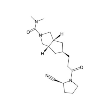 CN(C)C(=O)N1C[C@H]2C[C@H](CCC(=O)N3CCC[C@H]3C#N)C[C@H]2C1